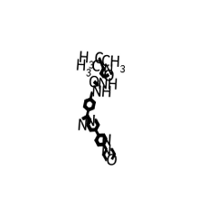 CC(C)(C)c1cc(NC(=O)NCc2ccc(-c3cnc4cc(-c5ccc(N6CCOCC6)nc5)ccn34)cc2)on1